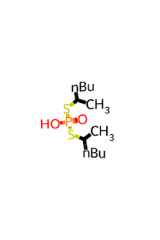 CCCCC(C)SP(=O)(O)SC(C)CCCC